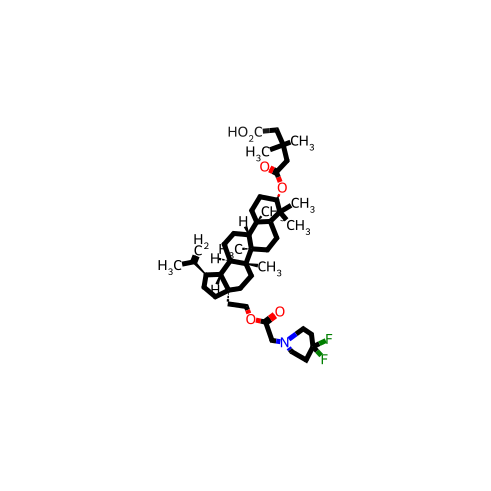 C=C(C)[C@@H]1CC[C@]2(CCOC(=O)CN3CCC(F)(F)CC3)CC[C@]3(C)[C@H](CC[C@@H]4[C@@]5(C)CC[C@H](OC(=O)CC(C)(C)CC(=O)O)C(C)(C)C5CC[C@]43C)[C@@H]12